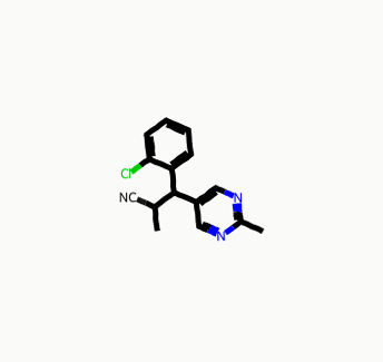 Cc1ncc(C(c2ccccc2Cl)C(C)C#N)cn1